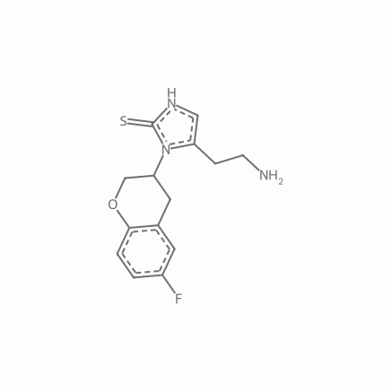 NCCc1c[nH]c(=S)n1C1COc2ccc(F)cc2C1